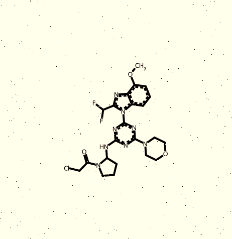 COc1cccc2c1nc(C(F)F)n2-c1nc(NC2CCCN2C(=O)CCl)nc(N2CCOCC2)n1